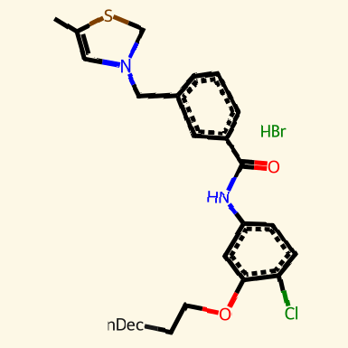 Br.CCCCCCCCCCCCOc1cc(NC(=O)c2cccc(CN3C=C(C)SC3)c2)ccc1Cl